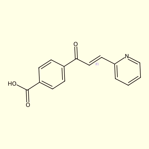 O=C(O)c1ccc(C(=O)/C=C/c2ccccn2)cc1